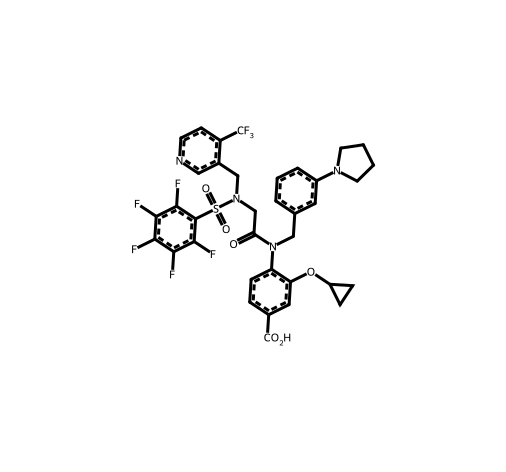 O=C(O)c1ccc(N(Cc2cccc(N3CCCC3)c2)C(=O)CN(Cc2cnccc2C(F)(F)F)S(=O)(=O)c2c(F)c(F)c(F)c(F)c2F)c(OC2CC2)c1